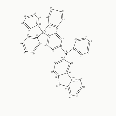 c1ccc(N(c2ccc([Si](c3ccccc3)(c3ccccc3)c3ccccc3)cc2)c2ccc3sc4ccccc4c3c2)cc1